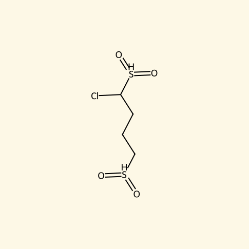 O=[SH](=O)CCCC(Cl)[SH](=O)=O